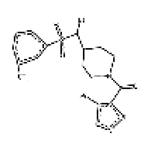 CCC(C1CCN(C(=O)c2snnc2C(C)C)CC1)S(=O)(=O)c1cccc(C(F)(F)F)c1